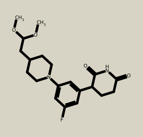 COC(CC1CCN(c2cc(F)cc(C3CCC(=O)NC3=O)c2)CC1)OC